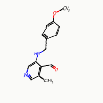 COc1ccc(CNc2cncc(C)c2C=O)cc1